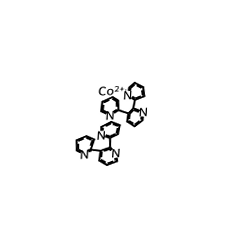 [Co+2].c1ccc(-c2cccnc2-c2ccccn2)nc1.c1ccc(-c2cccnc2-c2ccccn2)nc1